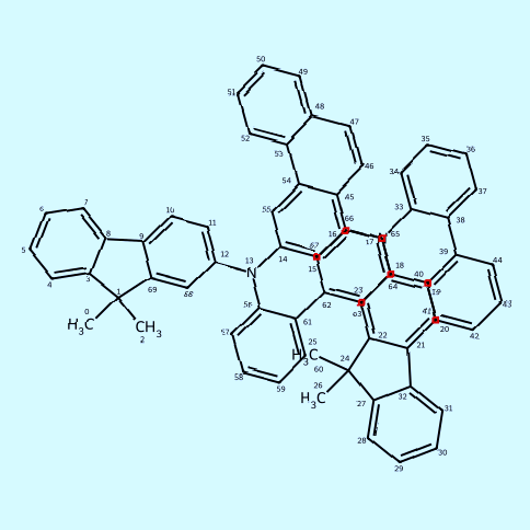 CC1(C)c2ccccc2-c2ccc(N(c3cc(N(c4ccc5c(c4)C(C)(C)c4ccccc4-5)c4ccccc4-c4ccccc4)c4ccc5ccccc5c4c3)c3ccccc3-c3ccccc3)cc21